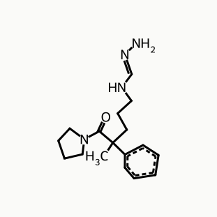 CC(CCCNC=NN)(C(=O)N1CCCC1)c1ccccc1